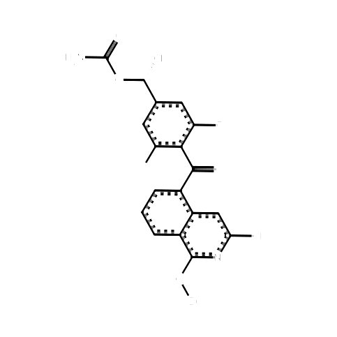 CCOc1nc(C)cc2c(C(=O)c3c(F)cc([C@@H](C)OC(N)=O)cc3F)cccc12